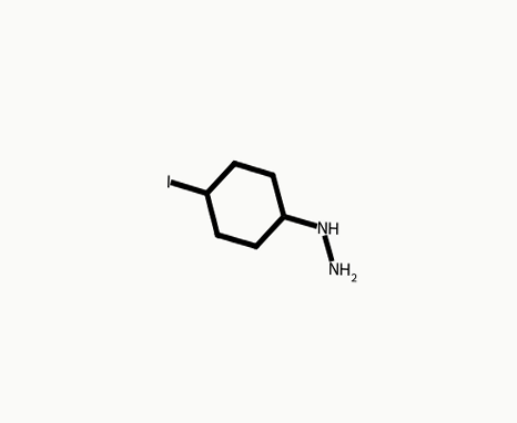 NNC1CCC(I)CC1